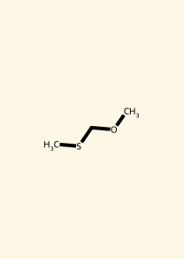 COCSC